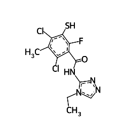 CCn1cnnc1NC(=O)c1c(F)c(S)c(Cl)c(C)c1Cl